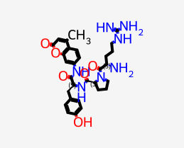 Cc1cc(=O)oc2cc(NC(=O)[C@H](Cc3ccc(O)cc3)NC(=O)[C@@H]3CCCN3C(=O)[C@@H](N)CCCNC(=N)N)ccc12